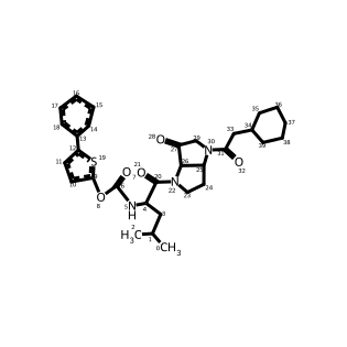 CC(C)CC(NC(=O)Oc1ccc(-c2ccccc2)s1)C(=O)N1CCC2C1C(=O)CN2C(=O)CC1CCCCC1